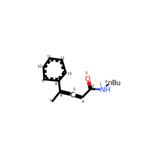 CCCCNC(=O)C=C=C(C)c1ccccc1